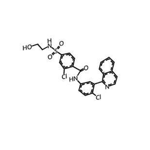 O=C(Nc1ccc(Cl)c(-c2nccc3ccccc23)c1)c1ccc(S(=O)(=O)NCCO)cc1Cl